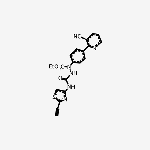 C#Cc1nc(NC(=O)NN(C(=O)OCC)c2ccc(-c3ncccc3C#N)cc2)cs1